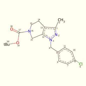 Cc1nn(Cc2ccc(Cl)cc2)c2c1CCN(C(=O)OC(C)(C)C)C2